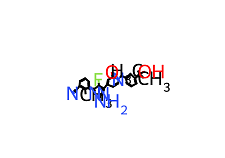 Cc1c(C#N)cccc1-c1nc(N)nc(-c2ccn(Cc3cccc(C(C)(C)O)c3)c(=O)c2)c1F